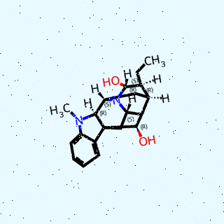 CC[C@H]1[C@@H]2C[C@H]3[C@@H]4N(C)c5ccccc5C45C[C@@H](C2[C@H]5O)N3[C@@H]1O